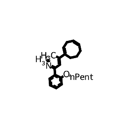 CCCCCOc1ccccc1C(/C=C(C)/C1=C/C/C=C\CCC1)=N/C